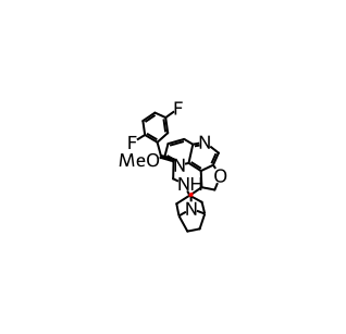 COc1ccc2ncc3c(c2n1)C(CN1C2CCC1CC(NC/C=C/c1cc(F)ccc1F)C2)CO3